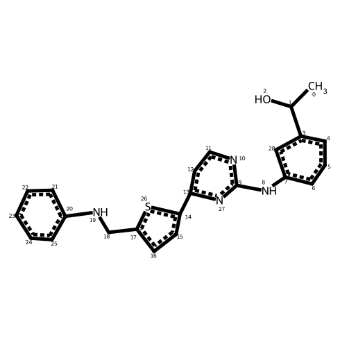 CC(O)c1cccc(Nc2nccc(-c3ccc(CNc4ccccc4)s3)n2)c1